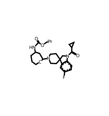 CC(C)OC(=O)NC1CCCCC(N2CCC3(CC2)CN(C(=O)C2CC2)c2ccc(F)cc23)C1